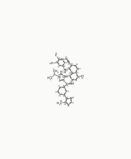 CC(C)N1C=C([C@@H](Nc2cc(Cl)c3ncc(C#N)c(Nc4cnc(F)c(F)c4)c3c2)c2cccc(-c3nccn3C)c2)NN1